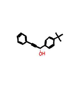 CC(C)(C)c1ccc([C@H](O)C#Cc2ccccc2)cc1